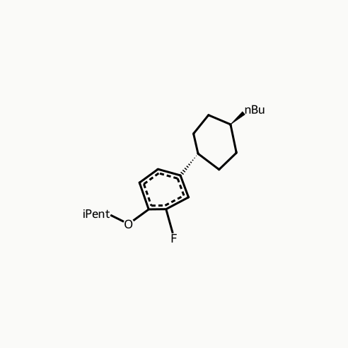 CCCC[C@H]1CC[C@H](c2ccc(OC(C)CCC)c(F)c2)CC1